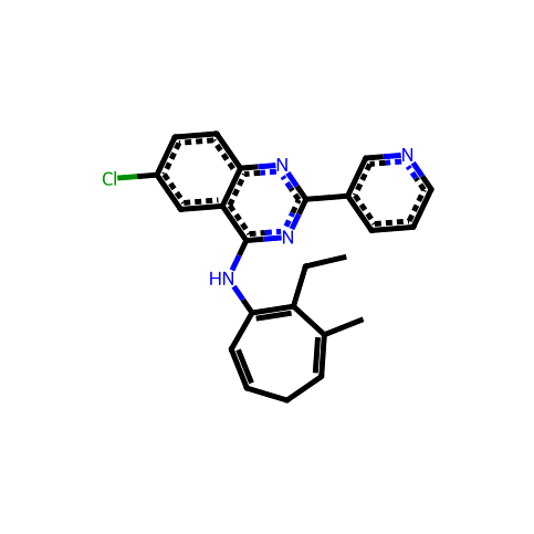 CCC1=C(Nc2nc(-c3cccnc3)nc3ccc(Cl)cc23)C=CCC=C1C